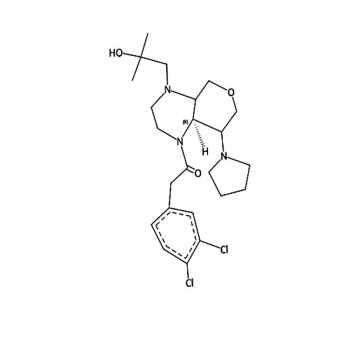 CC(C)(O)CN1CCN(C(=O)Cc2ccc(Cl)c(Cl)c2)[C@@H]2C(N3CCCC3)COCC21